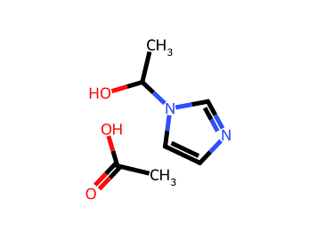 CC(=O)O.CC(O)n1ccnc1